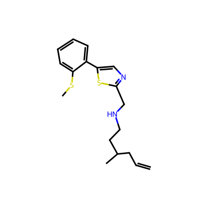 C=CCC(C)CCNCc1ncc(-c2ccccc2SC)s1